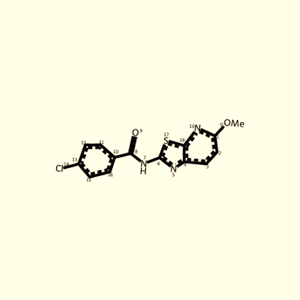 COc1ccc2nc(NC(=O)c3ccc(Cl)cc3)sc2n1